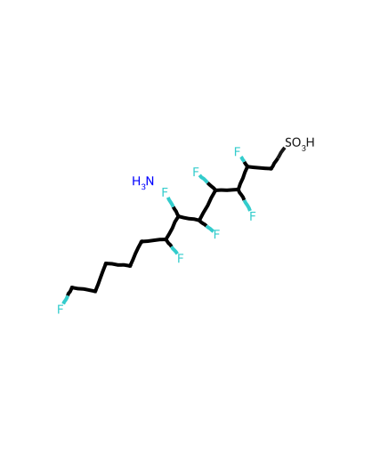 N.O=S(=O)(O)CC(F)C(F)C(F)C(F)C(F)C(F)CCCCCF